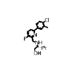 Cc1cc(-c2ccc(F)c(CN[C@@H](CO)C(C)C)n2)ccc1Cl